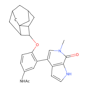 CC(=O)Nc1ccc(OC2C3CC4CC5CC2C3(C4)C5)c(-c2cn(C)c(=O)c3[nH]ccc23)c1